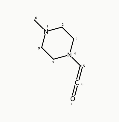 CN1CCN([C]=C=O)CC1